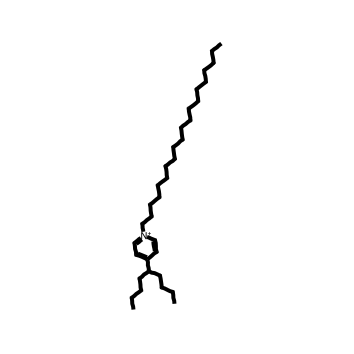 CCCCCCCCCCCCCCCCCCCC[n+]1ccc(C(CCCC)CCCC)cc1